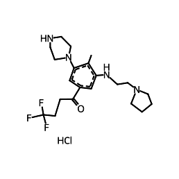 Cc1c(NCCN2CCCC2)cc(C(=O)CCC(F)(F)F)cc1N1CCNCC1.Cl